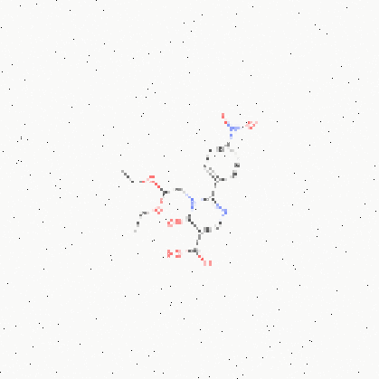 CCOC(Cn1c(-c2ccc([N+](=O)[O-])cc2)ncc(C(=O)O)c1=O)OCC